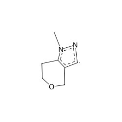 Cn1n[c]c2c1CCOC2